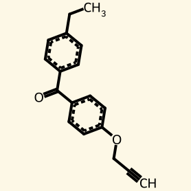 C#CCOc1ccc(C(=O)c2ccc(CC)cc2)cc1